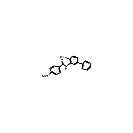 COc1ccc(C(=O)Nc2cc(-c3ccccc3)ccc2C=O)cc1